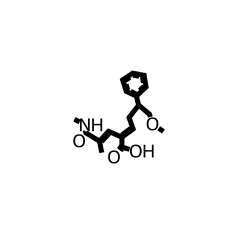 CNC(=O)/C(C)=C/C(=C\CC(COC)c1ccccc1)C(=O)O